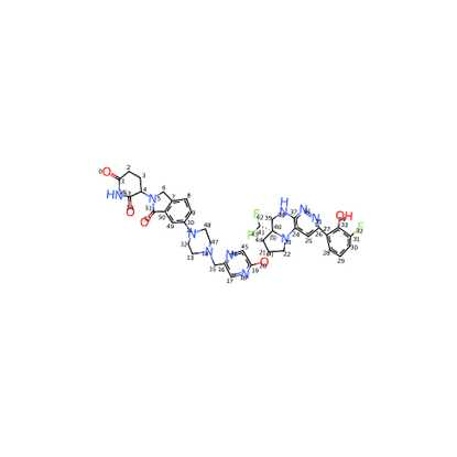 O=C1CCC(N2Cc3ccc(N4CCN(Cc5cnc(O[C@H]6CN7c8cc(-c9cccc(F)c9O)nnc8NC[C@]7(C(F)F)C6)cn5)CC4)cc3C2=O)C(=O)N1